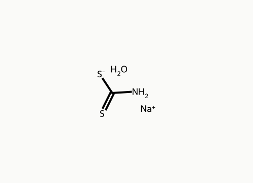 NC(=S)[S-].O.[Na+]